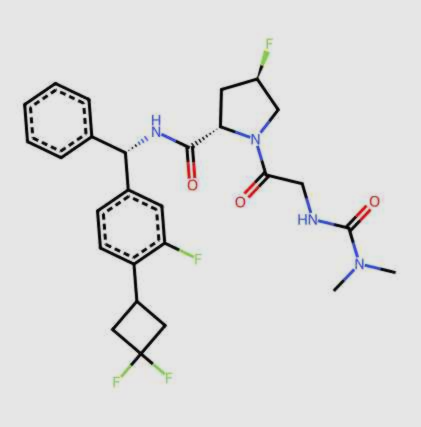 CN(C)C(=O)NCC(=O)N1C[C@H](F)C[C@H]1C(=O)N[C@@H](c1ccccc1)c1ccc(C2CC(F)(F)C2)c(F)c1